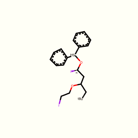 CC(C)(C)CC(C[C@@H](I)O[SiH](c1ccccc1)c1ccccc1)OCCI